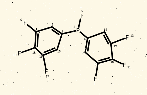 Fc1cc(P(I)c2cc(F)c(F)c(F)c2)cc(F)c1F